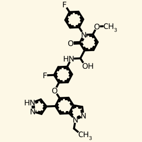 CCn1ncc2cc(Oc3ccc(NC(O)c4ccc(OC)n(-c5ccc(F)cc5)c4=O)cc3F)c(-c3cn[nH]c3)cc21